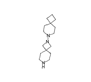 C1CC2(C1)CCN(N1CC3(CCNCC3)C1)CC2